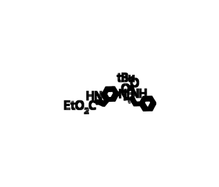 CCOC(=O)c1cc2cc(NC[C@H](Cc3ccccc3)NC(=O)OC(C)(C)C)ccc2[nH]1